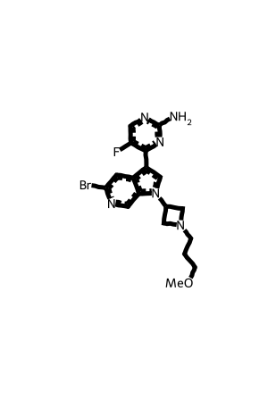 COCCCN1CC(n2cc(-c3nc(N)ncc3F)c3cc(Br)ncc32)C1